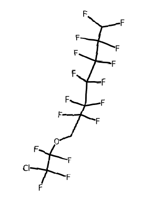 FC(F)C(F)(F)C(F)(F)C(F)(F)C(F)(F)C(F)(F)COC(F)(F)C(F)(F)Cl